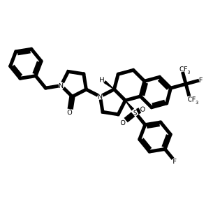 O=C1C(N2CC[C@@]3(S(=O)(=O)c4ccc(F)cc4)c4ccc(C(F)(C(F)(F)F)C(F)(F)F)cc4CC[C@@H]23)CCN1Cc1ccccc1